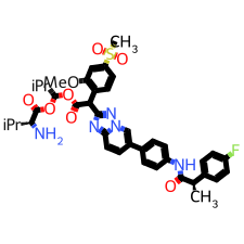 COc1cc(S(C)(=O)=O)ccc1C(C(=O)OC(OC(=O)[C@@H](N)C(C)C)C(C)C)c1nc2ccc(-c3ccc(NC(=O)[C@H](C)c4ccc(F)cc4)cc3)cn2n1